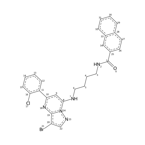 O=C(NCCCCNc1cc(-c2ccccc2Cl)nc2c(Br)cnn12)c1ccc2ccccc2c1